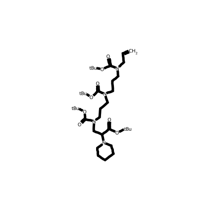 C=CCN(CCCN(CCCN(CC(C(=O)OC(C)(C)C)N1CCCCC1)C(=O)OC(C)(C)C)C(=O)OC(C)(C)C)C(=O)OC(C)(C)C